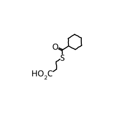 O=C(O)CCSC(=O)C1CCCCC1